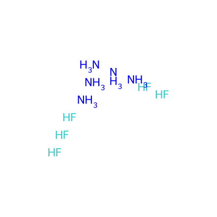 F.F.F.F.F.N.N.N.N.N